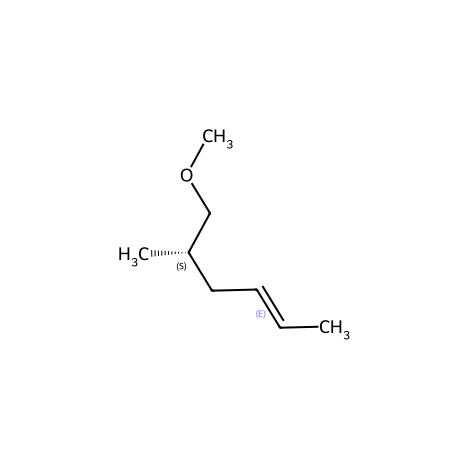 C/C=C/C[C@H](C)COC